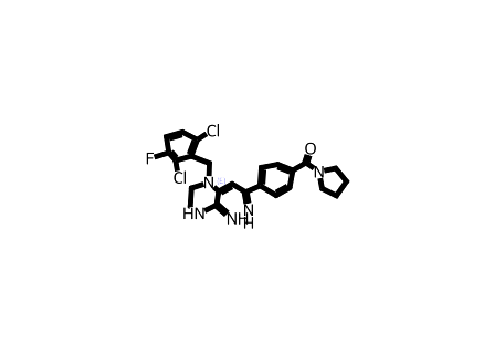 N=C1NCCN(Cc2c(Cl)ccc(F)c2Cl)/C1=C/C(=N)c1ccc(C(=O)N2CCCC2)cc1